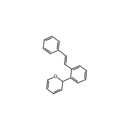 C1=COC(c2ccccc2C=Cc2ccccc2)C=C1